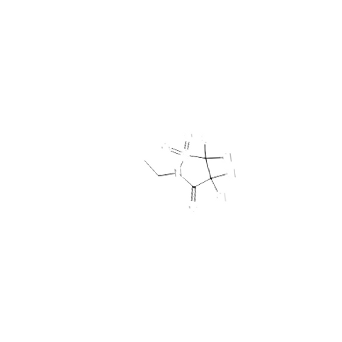 CCN1C(=O)C(Cl)(Cl)C(Cl)(Cl)S1(=O)=O